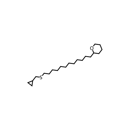 C(CCCCCCC1CCCCO1)CCCCCSCC1CC1